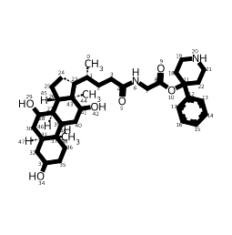 C[C@H](CCC(=O)NCC(=O)OC1(c2ccccc2)CCNCC1)[C@H]1CC[C@H]2[C@@H]3C(O)C[C@@H]4CC(O)CC[C@]4(C)[C@H]3CC(O)[C@]12C